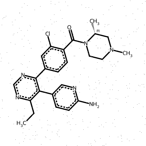 CCc1ncnc(-c2ccc(C(=O)N3CCN(C)C[C@H]3C)c(Cl)c2)c1-c1ccc(N)nc1